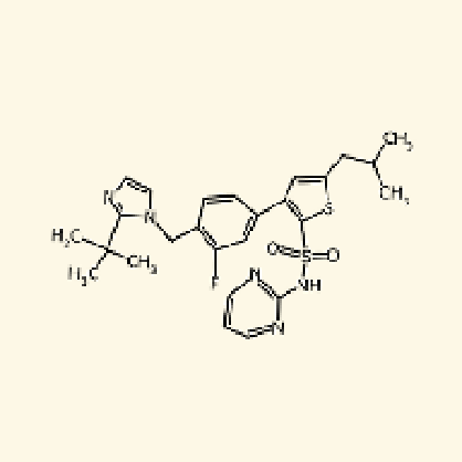 CC(C)Cc1cc(-c2ccc(Cn3ccnc3C(C)(C)C)c(F)c2)c(S(=O)(=O)Nc2ncccn2)s1